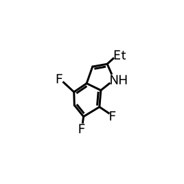 CCc1cc2c(F)cc(F)c(F)c2[nH]1